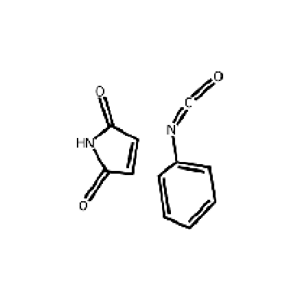 O=C1C=CC(=O)N1.O=C=Nc1ccccc1